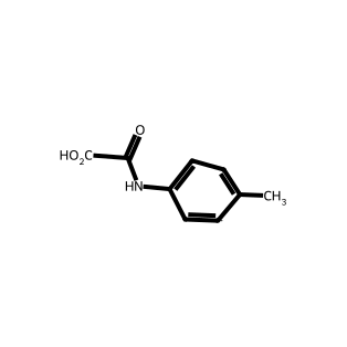 Cc1[c]cc(NC(=O)C(=O)O)cc1